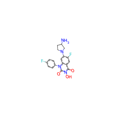 NC1CCN(c2cc3c(cc2F)c(=O)n(O)c(=O)n3-c2ccc(F)cc2)C1